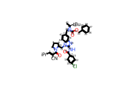 CC(C)C=C(C#N)C(=O)N1CCCC1Cn1c(NC(=O)c2ccc(Cl)cc2)nc2cc(CN(C(=O)OCc3ccccc3)[C@@H](C)C(C)(C)C)ccc21